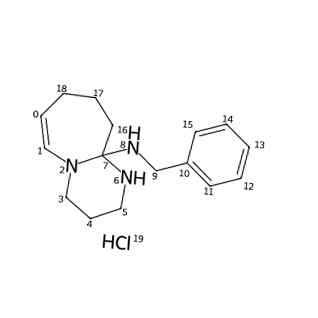 C1=CN2CCCNC2(NCc2ccccc2)CCC1.Cl